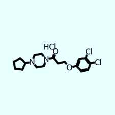 Cl.O=C(CCOc1ccc(Cl)c(Cl)c1)N1CCN(C2CCCC2)CC1